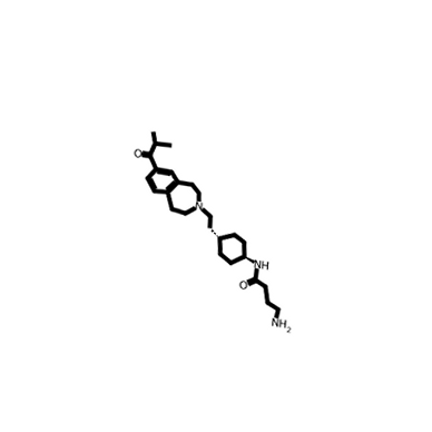 CC(C)C(=O)c1ccc2c(c1)CCN(CC[C@H]1CC[C@H](NC(=O)CCCN)CC1)CC2